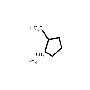 C.C.O=C(O)C1CCCC1